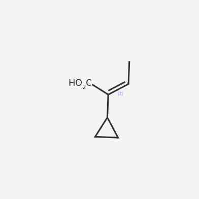 C/C=C(\C(=O)O)C1CC1